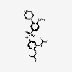 COc1ccc(S(=O)(=O)Nc2ccc(OC(F)F)c(OC(F)F)c2)cc1N1CCNCC1